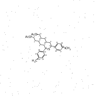 CC(=O)OCCCCCC(SC(CCCCCOC(C)=O)c1ccc(C)cc1)c1ccc(C)cc1